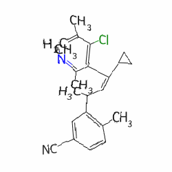 C=C(C)/C(Cl)=C(C(=C\C(C)c1cc(C#N)ccc1C)/C1CC1)\C(C)=N/C